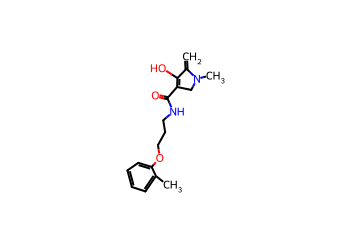 C=C1C(O)=C(C(=O)NCCCOc2ccccc2C)CN1C